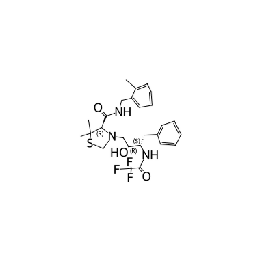 Cc1ccccc1CNC(=O)[C@H]1N(C[C@@H](O)[C@H](Cc2ccccc2)NC(=O)C(F)(F)F)CSC1(C)C